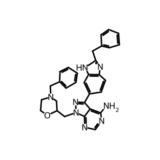 Nc1ncnc2c1c(-c1ccc3nc(Cc4ccccc4)[nH]c3c1)nn2CC1CN(Cc2ccccc2)CCO1